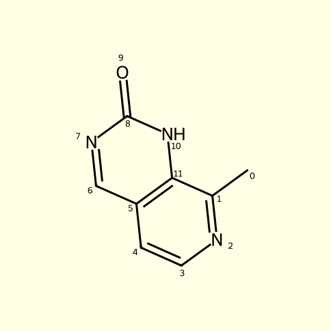 Cc1nccc2cnc(=O)[nH]c12